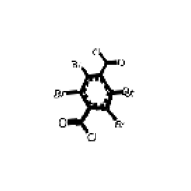 O=C(Cl)c1c(Br)c(Br)c(C(=O)Cl)c(Br)c1Br